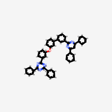 c1ccc(-c2cc(-c3ccccc3)nc(-c3cccc(-c4cccc(Oc5cccc(-c6nc(-c7ccccc7)nc(-c7ccccc7)n6)c5)c4)c3)n2)cc1